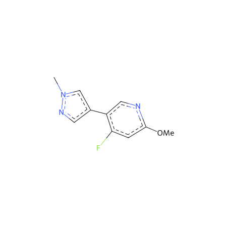 COc1cc(F)c(-c2cnn(C)c2)cn1